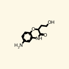 Nc1ccc2c(c1)NC(=O)C(CCO)O2